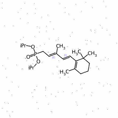 CC1=C(/C=C/C(C)=C/CP(=O)(OC(C)C)OC(C)C)C(C)(C)CCC1